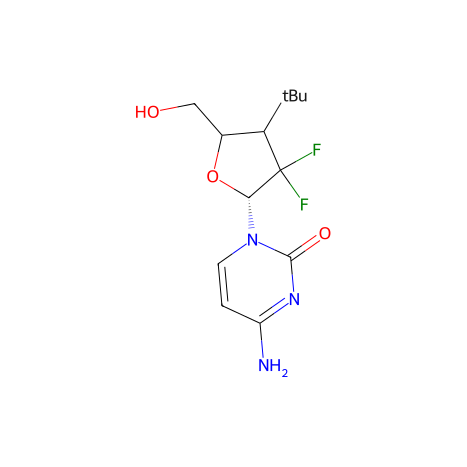 CC(C)(C)C1C(CO)O[C@@H](n2ccc(N)nc2=O)C1(F)F